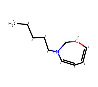 CCCCCN1C=CC=COC1